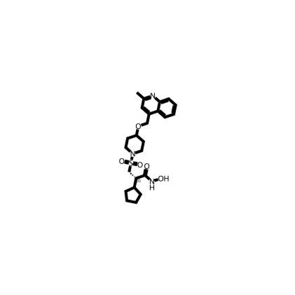 Cc1cc(COC2CCN(S(=O)(=O)C[C@H](C(=O)NO)C3CCCC3)CC2)c2ccccc2n1